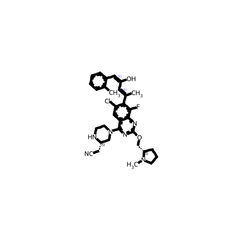 C/C(=C\C(O)=C/c1ccccc1C)c1c(Cl)cc2c(N3CCN[C@@H](CC#N)C3)nc(OC[C@@H]3CCCN3C)nc2c1F